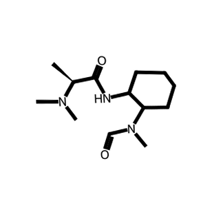 C[C@@H](C(=O)NC1CCCCC1N(C)C=O)N(C)C